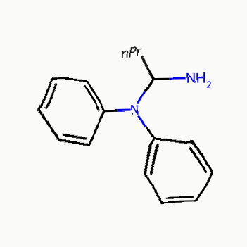 CCCC(N)N(c1ccccc1)c1ccccc1